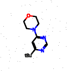 CC(C)(C)c1cc(N2CCOCC2)ncn1